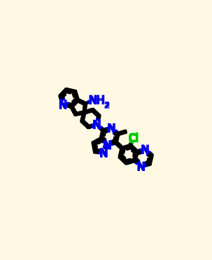 Cc1nc(N2CCC3(CC2)Cc2ncccc2[C@H]3N)c2ccnn2c1-c1ccc2nccnc2c1Cl